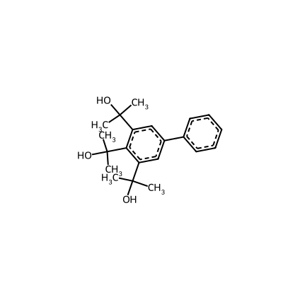 CC(C)(O)c1cc(-c2ccccc2)cc(C(C)(C)O)c1C(C)(C)O